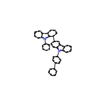 c1ccc(-c2ccc(-n3c4ccccc4c4cc(-c5cccc6c7ccccc7n(-c7ccccc7)c56)ccc43)cc2)cc1